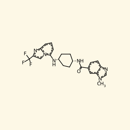 Cn1cnc2ccc(C(=O)N[C@H]3CC[C@@H](Nc4cccc5nc(C(F)(F)F)cn45)CC3)cc21